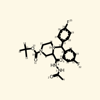 CC(=O)NNC(=O)C1CN(C(=O)OC(C)(C)C)CCN1C(c1ccc(F)cc1)c1ccc(F)cc1